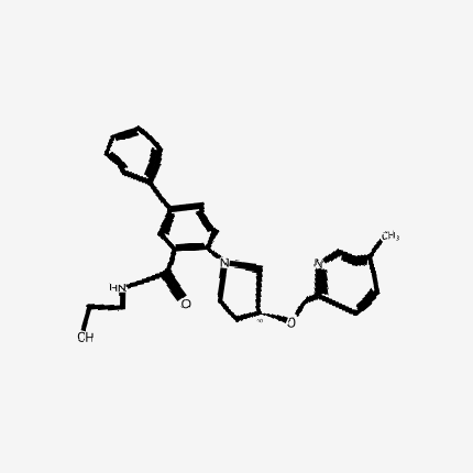 Cc1ccc(O[C@H]2CCN(c3ccc(-c4ccccc4)cc3C(=O)NCCO)C2)nc1